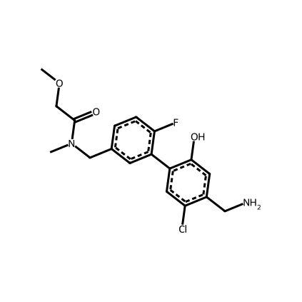 COCC(=O)N(C)Cc1ccc(F)c(-c2cc(Cl)c(CN)cc2O)c1